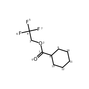 O=C(OCC(F)(F)F)C1CCCCC1